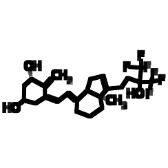 C=C1/C(=C\C=C2/CCC[C@]3(C)C(CCC(O)(C(F)(F)F)C(F)(F)F)=CCC23)CC(O)C[C@@H]1O